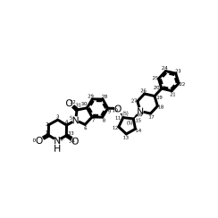 O=C1CCC(N2Cc3cc(O[C@H]4CCC[C@@H]4N4CCC(c5ccccc5)CC4)ccc3C2=O)C(=O)N1